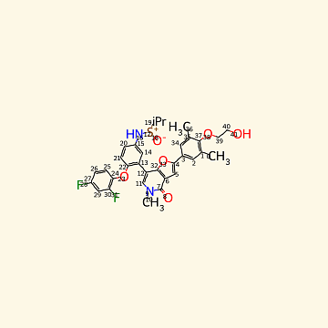 Cc1cc(-c2cc3c(=O)n(C)cc(-c4cc(N[S+]([O-])C(C)C)ccc4Oc4ccc(F)cc4F)c3o2)cc(C)c1OCCO